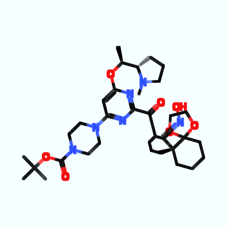 C[C@H](Oc1cc(N2CCN(C(=O)OC(C)(C)C)CC2)nc(C(=O)C2CCC[C@@]3(CCCCC34OCCO4)/C2=N/O)n1)[C@@H]1CCCN1C